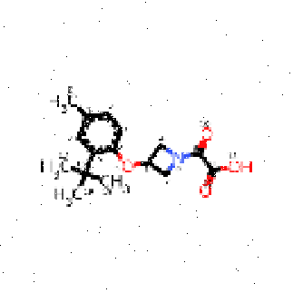 Cc1ccc(OC2CN(C(=O)C(=O)O)C2)c(C(C)(C)C)c1